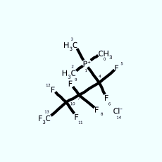 C[P+](C)(C)C(F)(F)C(F)(F)C(F)(F)C(F)(F)F.[Cl-]